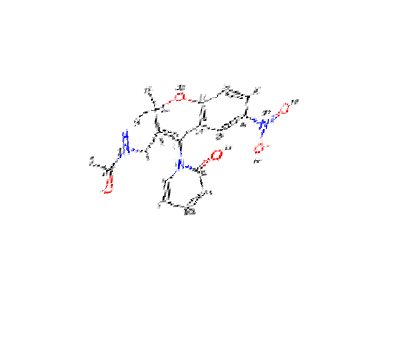 CC(=O)NCC1=C(n2ccccc2=O)c2cc([N+](=O)[O-])ccc2OC1(C)C